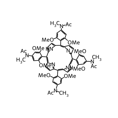 COc1cc(N(C)C(C)=O)cc(OC)c1-c1c2nc(c(-c3c(OC)cc(N(C)C(C)=O)cc3OC)c3ccc([nH]3)c(-c3c(OC)cc(N(C)C(C)=O)cc3OC)c3nc(c(-c4c(OC)cc(N(C)C(C)=O)cc4OC)c4ccc1[nH]4)C=C3)C=C2